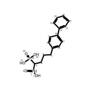 O=[PH](O)C(CCCc1ccc(-c2ccccc2)cc1)P(=O)(O)O